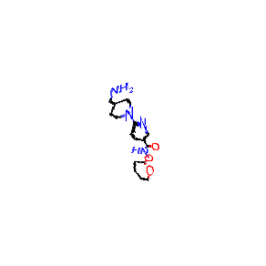 NCC1CCN(c2ccc(C(=O)NOC3CCCCO3)cn2)CC1